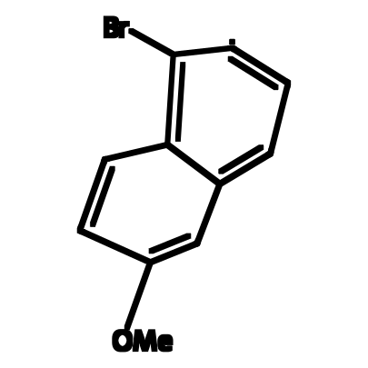 COc1ccc2c(Br)[c]ccc2c1